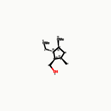 COC[C@H]1[C@H](CO)[C@H](C)C[C@@H]1OC